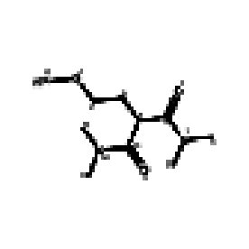 CCCOCCC(C(=O)N(C)C)C(=O)N(C)C